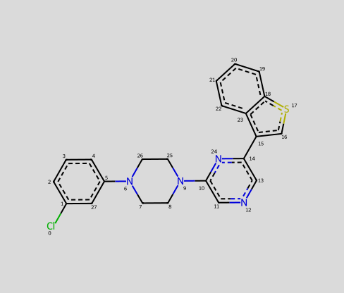 Clc1cccc(N2CCN(c3cncc(-c4csc5ccccc45)n3)CC2)c1